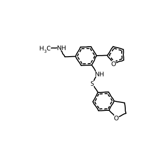 CNCc1ccc(-c2ccco2)c(NSc2ccc3c(c2)CCO3)c1